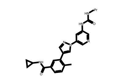 Cc1ccc(C(=O)NC2CC2)cc1-c1cnn(-c2cncc(NC(=O)NC(C)C)c2)c1